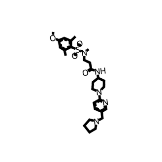 COc1cc(C)c(S(=O)(=O)N(C)CCC(=O)NC2CCN(c3ccc(CN4CCCC4)cn3)CC2)c(C)c1